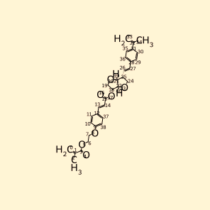 C=C(C)C(=O)OCCOc1ccc(/C=C/C(=O)O[C@@H]2CO[C@H]3[C@@H]2OC[C@H]3C=Cc2ccc(C(=C)C)cc2)cc1